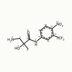 CC(O)(CN)C(=O)Nc1ccc([N+](=O)[O-])c(C(F)(F)F)c1